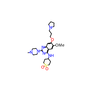 COc1cc2c(NC3CCS(=O)(=O)CC3)nc(N3CCN(C)CC3)nc2cc1OCCCN1CCCC1